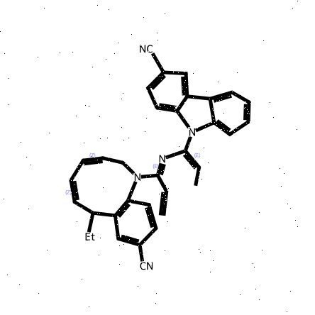 C=C/C(=N\C(=C/C)n1c2ccccc2c2cc(C#N)ccc21)N1C/C=C\C=C/C(CC)c2cc(C#N)ccc21